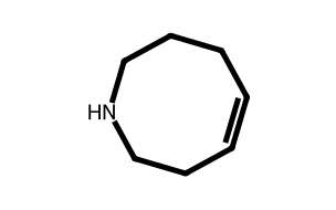 C1=CCCNCCC1